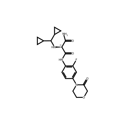 NC(=O)[C@H](NC(C1CC1)C1CC1)C(=O)Nc1ccc(N2CCOCC2=O)cc1F